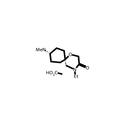 CC(=O)O.CCN1C[C@]2(CC[C@@H](NC)CC2)OCC1=O